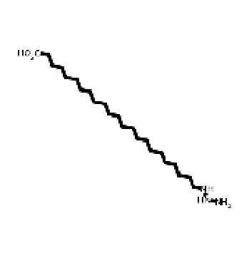 NNNCCCCCCCCCCCCCCCCCCCCCCC(=O)O